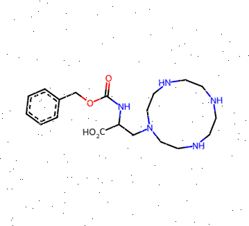 O=C(NC(CN1CCNCCNCCNCC1)C(=O)O)OCc1ccccc1